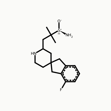 CC(C)(CC1CC2(CCN1)Cc1cccc(F)c1C2)[S@+](N)[O-]